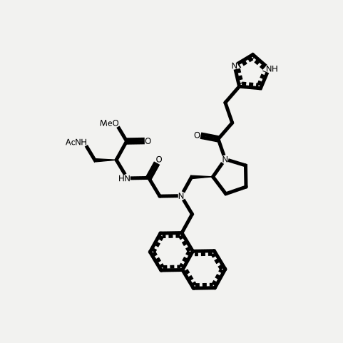 COC(=O)[C@H](CNC(C)=O)NC(=O)CN(Cc1cccc2ccccc12)C[C@@H]1CCCN1C(=O)CCc1c[nH]cn1